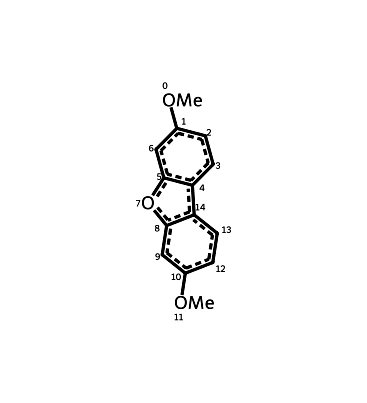 COc1ccc2c(c1)oc1cc(OC)ccc12